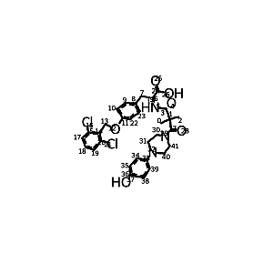 CC(C)(C(=O)N[C@@H](Cc1ccc(OCc2c(Cl)cccc2Cl)cc1)C(=O)O)C(=O)N1CCN(c2ccc(O)cc2)CC1